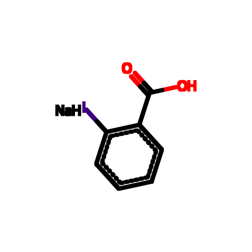 O=C(O)c1ccccc1I.[NaH]